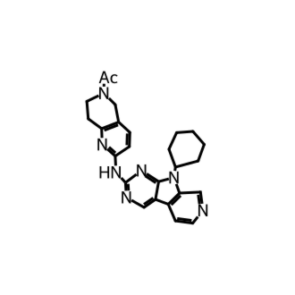 CC(=O)N1CCc2nc(Nc3ncc4c5ccncc5n(C5CCCCC5)c4n3)ccc2C1